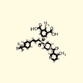 Cc1c(C(=O)O)cccc1C(=O)O.Cc1ccncc1C(=O)N1CCN(S(=O)(=O)CC=Cc2ccc(C(F)(F)F)cc2)CC1